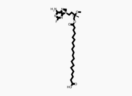 CO[C@@](C)(CCn1cnc2c(N)nc(F)nc21)COC(=O)CCCCCCCCCCCCCCCCCCC(=O)O